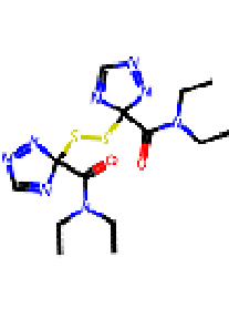 CCN(CC)C(=O)C1(SSC2(C(=O)N(CC)CC)N=CN=N2)N=CN=N1